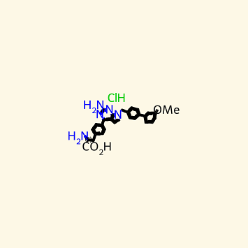 COc1cccc(-c2ccc(Cn3ccc4c(-c5ccc(C[C@H](N)C(=O)O)cc5)nc(N)nc43)cc2)c1.Cl